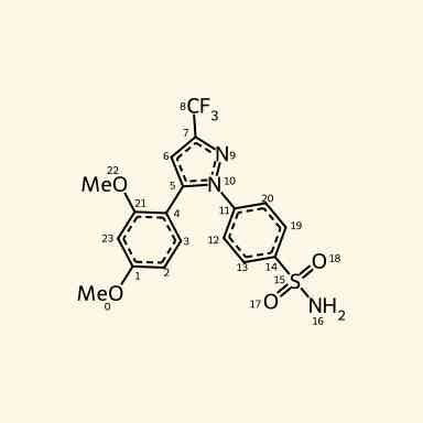 COc1ccc(-c2cc(C(F)(F)F)nn2-c2ccc(S(N)(=O)=O)cc2)c(OC)c1